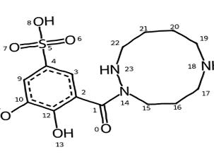 O=C(c1cc(S(=O)(=O)O)cc(O)c1O)N1CCCNCCCCN1